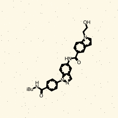 CCC(C)NC(=O)c1ccc(-n2ncc3cc(NC(=O)c4ccc5c(ccn5CCO)c4)ccc32)cc1